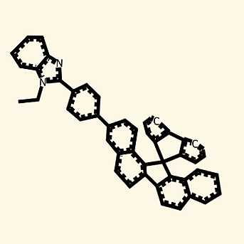 CCn1c(-c2ccc(-c3ccc4c5c(ccc4c3)-c3ccc4ccccc4c3C53c4ccccc4-c4ccccc43)cc2)nc2ccccc21